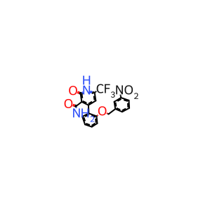 NC(=O)c1c(-c2ccccc2OCc2cccc([N+](=O)[O-])c2)cc(C(F)(F)F)[nH]c1=O